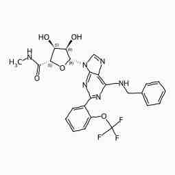 CNC(=O)[C@H]1O[C@@H](n2cnc3c(NCc4ccccc4)nc(-c4ccccc4OC(F)(F)F)nc32)[C@H](O)[C@@H]1O